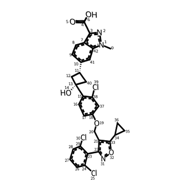 Cn1nc(C(=O)O)c2ccc([C@H]3C[C@](O)(c4ccc(OCc5c(-c6c(Cl)cccc6Cl)noc5C5CC5)cc4Cl)C3)cc21